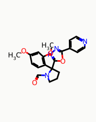 COc1ccc(C2(c3nnc(-c4ccncc4)o3)CCCN2C=O)c(OC)c1